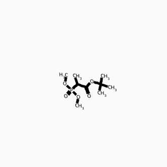 COP(=O)(OC)C(C)C(=O)OC(C)(C)C